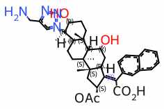 CC(=O)O[C@H]1C[C@@]2(C)[C@@H](C[C@@H](O)[C@H]3[C@@]4(C)CC[C@@H](O)[C@](C)(n5cc(CN)nn5)[C@@H]4CC[C@@]32C)/C1=C(/C(=O)O)c1ccc2ccccc2c1